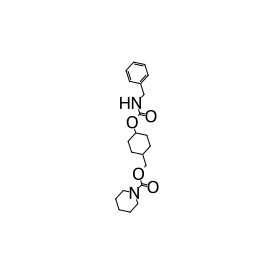 O=C(NCc1ccccc1)OC1CCC(COC(=O)N2CCCCC2)CC1